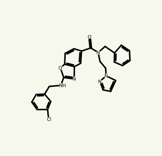 O=C(c1ccc2oc(NCc3cccc(Cl)c3)nc2c1)N(CCn1cccn1)Cc1ccccc1